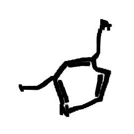 CC(C)c1ccnc(I)c1